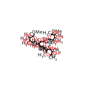 CCC1(C)OC(C)(OCC2(C)OC(C)(OCC3(C)OC(C)(OC)C(C)(O)C(C)(O)C3(C)O)C(C)(O)C(C)(OC3(C)OC(C)(COC)C(C)(O)C(C)(O)C3(C)O)C2(C)O)C(C)(O)C(C)(O)C1(C)O